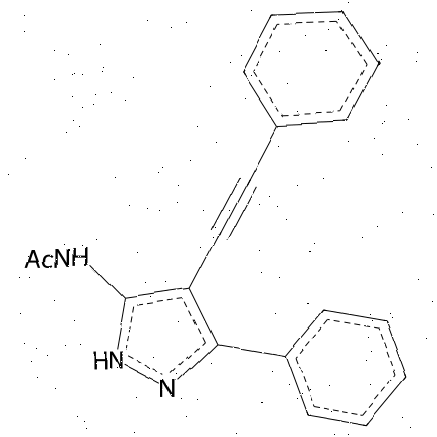 CC(=O)Nc1[nH]nc(-c2ccccc2)c1C#Cc1ccccc1